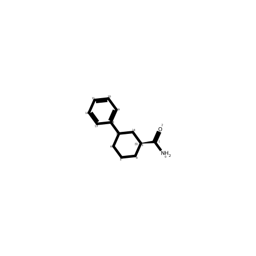 NC(=O)[C@H]1CCCC(c2ccccc2)C1